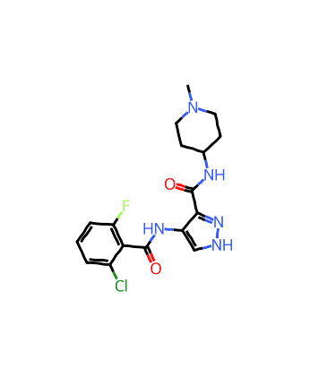 CN1CCC(NC(=O)c2n[nH]cc2NC(=O)c2c(F)cccc2Cl)CC1